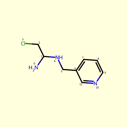 NC(CCl)NCc1cccnc1